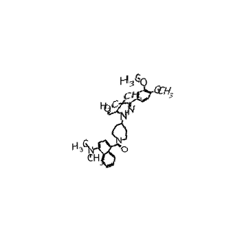 COc1ccc(C2=NN(C3CCN(C(=O)c4ccc(N(C)C)c5ccccc45)CC3)C(C=O)C2(C)C)cc1OC